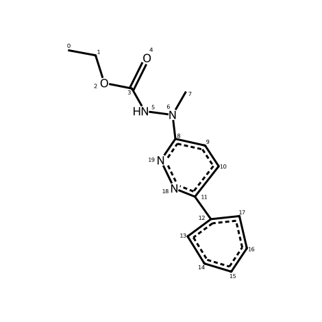 CCOC(=O)NN(C)c1ccc(-c2ccccc2)nn1